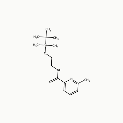 Cc1cccc(C(=O)NCCO[Si](C)(C)C(C)(C)C)n1